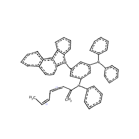 C=C(/C=C\C=C/C)N(c1ccccc1)c1cc(N(c2ccccc2)c2ccccc2)cc(-n2c3ccccc3c3c4ccccc4ccc32)c1